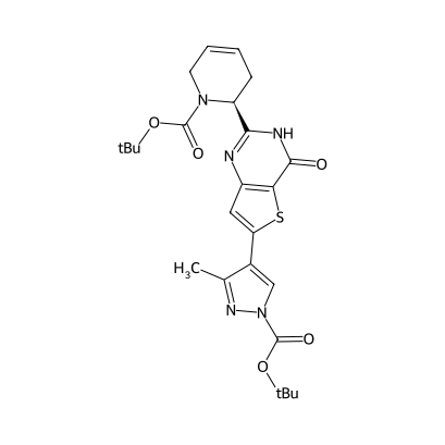 Cc1nn(C(=O)OC(C)(C)C)cc1-c1cc2nc([C@@H]3CC=CCN3C(=O)OC(C)(C)C)[nH]c(=O)c2s1